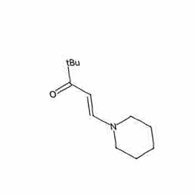 CC(C)(C)C(=O)/C=C/N1CCCCC1